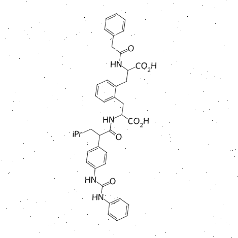 CC(C)CC(C(=O)NC(Cc1ccccc1CC(NC(=O)Cc1ccccc1)C(=O)O)C(=O)O)c1ccc(NC(=O)Nc2ccccc2)cc1